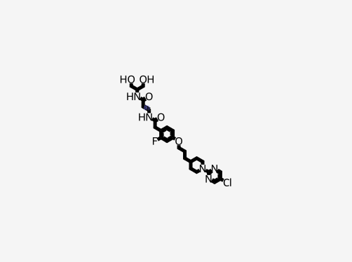 O=C(/C=C/NC(=O)Cc1ccc(OCCCC2CCN(c3ncc(Cl)cn3)CC2)cc1F)NC(CO)CO